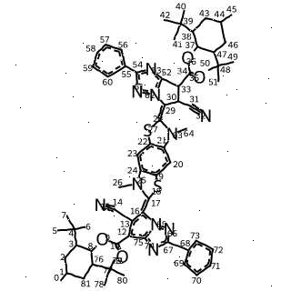 CC1CC(C(C)(C)C)C(OC(=O)c2c(C#N)/c(=C3/Sc4cc5c(cc4N3C)S/C(=C3/C(C#N)C(C(=O)OC4C(C(C)(C)C)CC(C)CC4C(C)(C)C)c4nc(-c6ccccc6)nn43)N5C)n3nc(-c4ccccc4)nc23)C(C(C)(C)C)C1